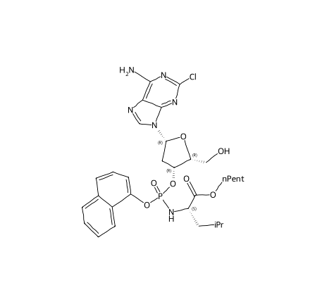 CCCCCOC(=O)[C@H](CC(C)C)NP(=O)(Oc1cccc2ccccc12)O[C@@H]1C[C@H](n2cnc3c(N)nc(Cl)nc32)O[C@@H]1CO